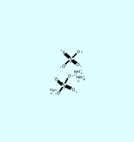 O=S(=O)([O-])[O-].O=S([O-])([O-])=S.[Fe+2].[NH4+].[NH4+]